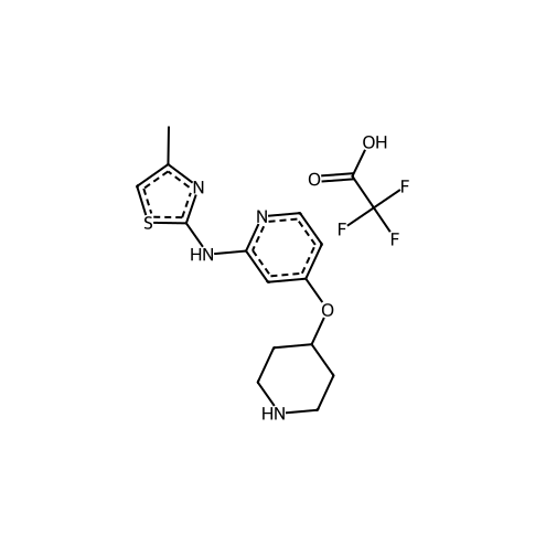 Cc1csc(Nc2cc(OC3CCNCC3)ccn2)n1.O=C(O)C(F)(F)F